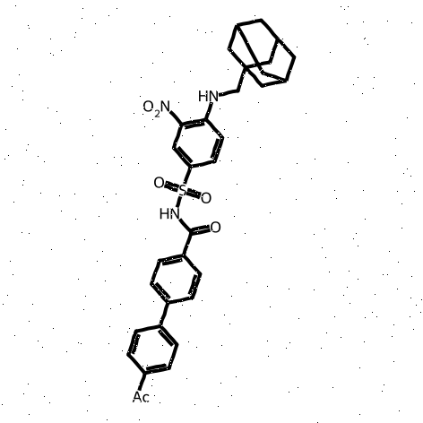 CC(=O)c1ccc(-c2ccc(C(=O)NS(=O)(=O)c3ccc(NCC45CC6CC(CC(C6)C4)C5)c([N+](=O)[O-])c3)cc2)cc1